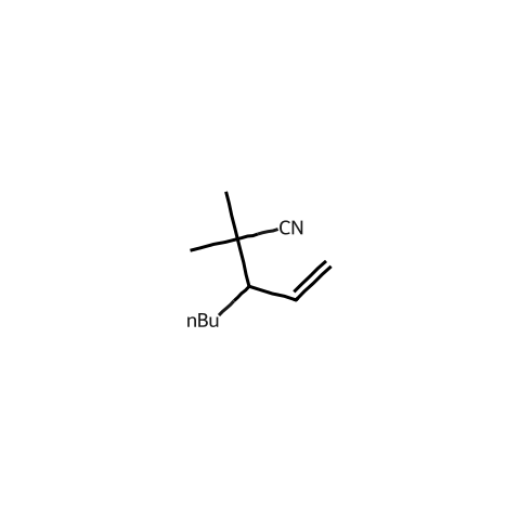 C=CC(CCCC)C(C)(C)C#N